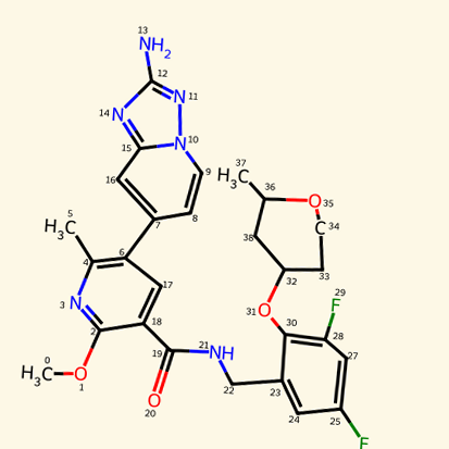 COc1nc(C)c(-c2ccn3nc(N)nc3c2)cc1C(=O)NCc1cc(F)cc(F)c1OC1CCOC(C)C1